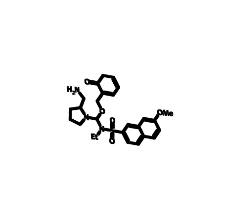 CCN(C(OCC1=CC=CCC1=O)N1CCCC1CN)S(=O)(=O)c1ccc2ccc(OC)cc2c1